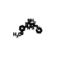 COc1cccc(-c2nc(N)c3cc(CN4CC=CCC4)sc3n2)c1